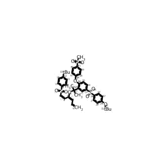 C=C/C=C(\C=C/S(=O)(=O)c1ccc(C(C)(C)C)cc1)OC(C)(C)c1cc(S(=O)(=O)c2ccc(OC(C)(C)C)cc2)ccc1Oc1ccc(S(C)(=O)=O)cc1